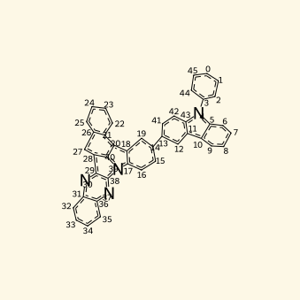 c1ccc(-n2c3ccccc3c3cc(-c4ccc5c(c4)c4c6ccccc6cc6c7nc8ccccc8nc7n5c64)ccc32)cc1